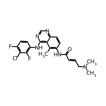 Cc1c(NC(=O)/C=C/CN(C)C)ccc2ncnc(Nc3ccc(F)c(Cl)c3F)c12